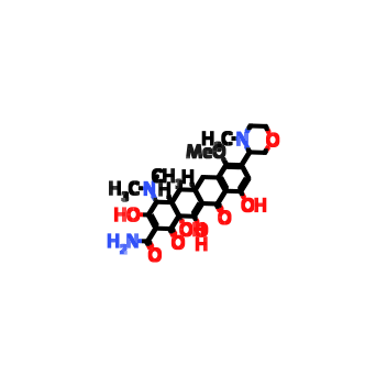 COc1c(C2COCCN2C)cc(O)c2c1C[C@H]1C[C@H]3[C@H](N(C)C)C(O)=C(C(N)=O)C(=O)[C@@]3(O)C(O)=C1C2=O